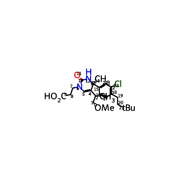 COCC(C)C1=CN(CCC(=O)O)C(=O)N[C@@]1(C)c1ccc(CCC(C)(C)C)c(Cl)c1